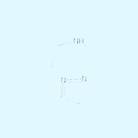 C[C](N)Cn1cccn1